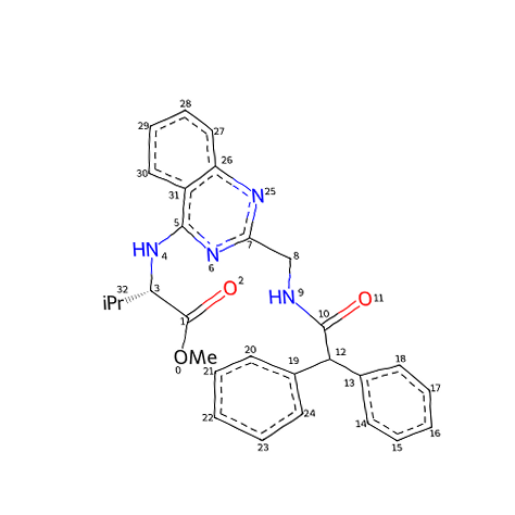 COC(=O)[C@@H](Nc1nc(CNC(=O)C(c2ccccc2)c2ccccc2)nc2ccccc12)C(C)C